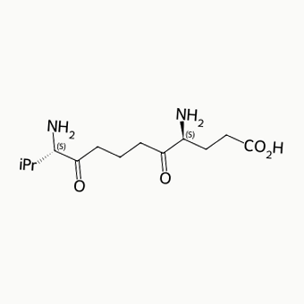 CC(C)[C@H](N)C(=O)CCCC(=O)[C@@H](N)CCC(=O)O